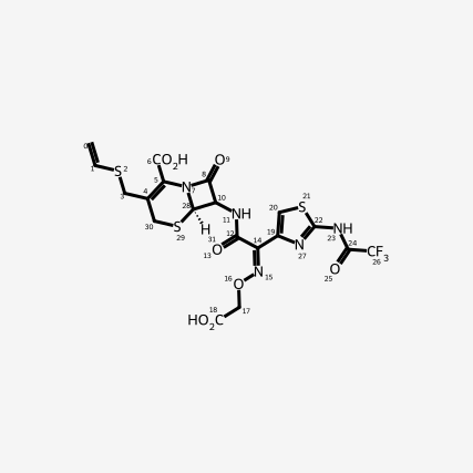 C=CSCC1=C(C(=O)O)N2C(=O)C(NC(=O)/C(=N\OCC(=O)O)c3csc(NC(=O)C(F)(F)F)n3)[C@H]2SC1